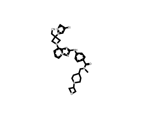 CCc1cnn(C2(CC#N)CN(c3cccn4nc(Nc5ccc(C(=O)N(C)CC6CCN(C7COC7)CC6)cc5)nc34)C2)c1